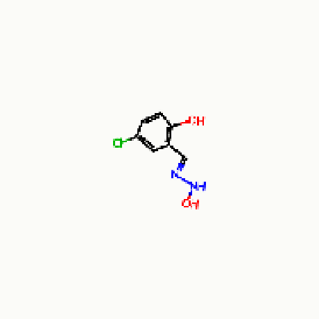 ONN=Cc1cc(Cl)ccc1O